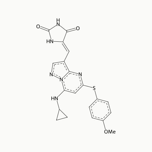 COc1ccc(Sc2cc(NC3CC3)n3ncc(C=C4NC(=O)NC4=O)c3n2)cc1